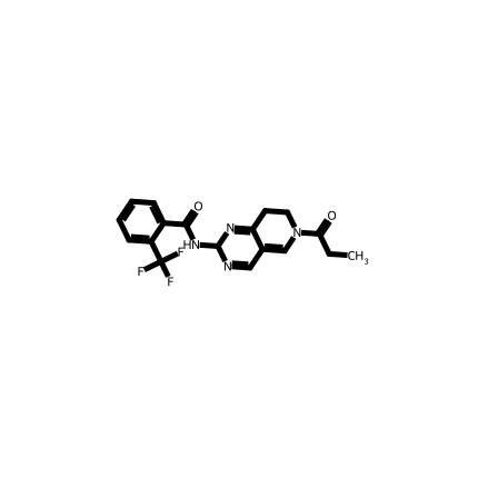 CCC(=O)N1C=C2C=NC(NC(=O)c3ccccc3C(F)(F)F)N=C2CC1